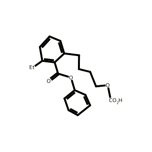 CCc1cccc(CCCCOC(=O)O)c1C(=O)Oc1ccccc1